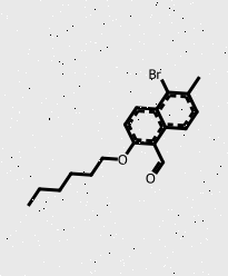 CCCCCCOc1ccc2c(Br)c(C)ccc2c1C=O